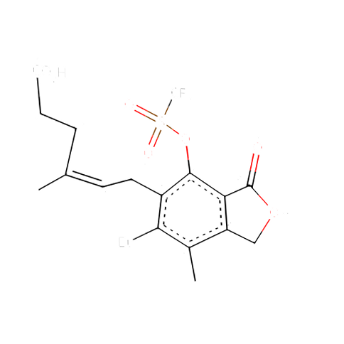 CCc1c(C)c2c(c(OS(=O)(=O)C(F)(F)F)c1CC=C(C)CCC(=O)O)C(=O)OC2